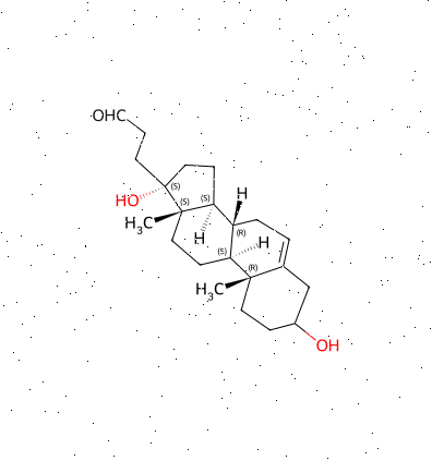 C[C@]12CCC(O)CC1=CC[C@@H]1[C@@H]2CC[C@@]2(C)[C@H]1CC[C@]2(O)CCC=O